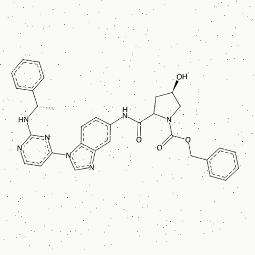 C[C@H](Nc1nccc(-n2cnc3cc(NC(=O)C4C[C@@H](O)CN4C(=O)OCc4ccccc4)ccc32)n1)c1ccccc1